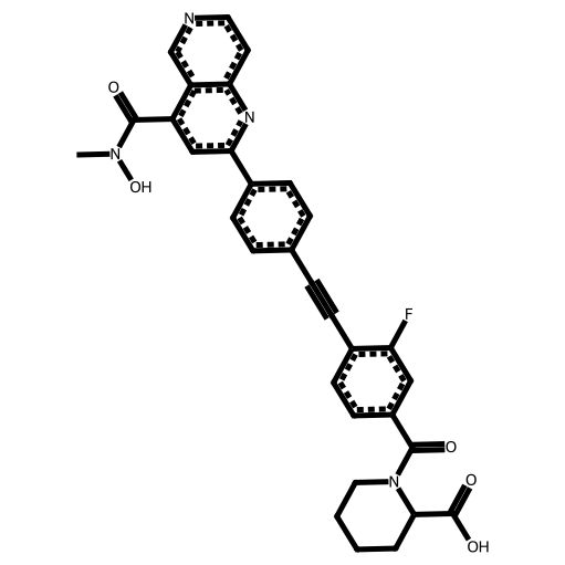 CN(O)C(=O)c1cc(-c2ccc(C#Cc3ccc(C(=O)N4CCCCC4C(=O)O)cc3F)cc2)nc2ccncc12